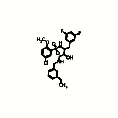 CCc1cccc(CNCC(O)C(Cc2cc(F)cc(F)c2)NS(=O)(=O)c2cc(Cl)ccc2OC)c1